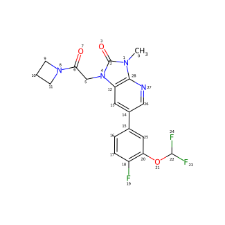 Cn1c(=O)n(CC(=O)N2CCC2)c2cc(-c3ccc(F)c(OC(F)F)c3)cnc21